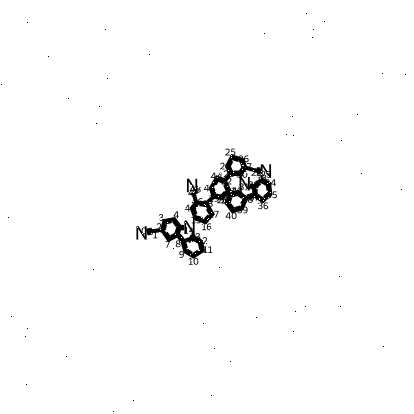 N#Cc1ccc2c(c1)c1ccccc1n2-c1ccc(-c2ccc(-c3cccc(C#N)c3-n3c4ccccc4c4ccccc43)cc2)c(C#N)c1